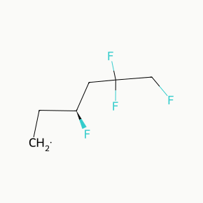 [CH2]C[C@H](F)CC(F)(F)CF